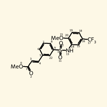 COC(=O)C=Cc1cccc(S(=O)(=O)Nc2cc(C(F)(F)F)ccc2OC)c1